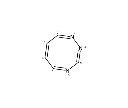 C1=C\C=N/N=C\N=C/1